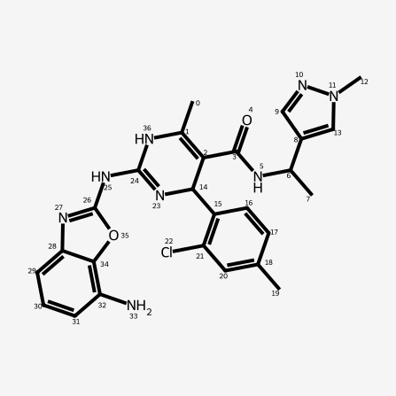 CC1=C(C(=O)NC(C)c2cnn(C)c2)C(c2ccc(C)cc2Cl)N=C(Nc2nc3cccc(N)c3o2)N1